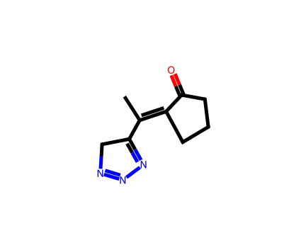 C/C(C1=NN=NC1)=C1/CCCC1=O